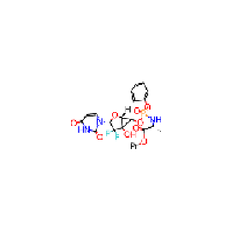 CC(C)OC(=O)[C@@H](C)NP(=O)(Oc1ccccc1)OC1[C@H]2O[C@@H](n3ccc(=O)[nH]c3=O)C(F)(F)[C@@]12O